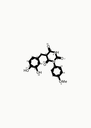 COc1ccc(N2C(=O)NC(=O)C(Cc3ccc(O)c(O)c3)C2=O)cc1